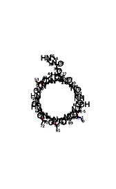 C/C=C/C[C@@H](C)[C@@H](O)C1C(=O)N[C@@H](CC)C(=O)N(C)[C@H](C)C(=O)N(C)[C@@H]([C@H](C)COCC(=O)N2CCNCC2)C(=O)N[C@@H](C(C)C)C(=O)N(C)[C@@H](CC(C)C)C(=O)N[C@@H](C)C(=O)N[C@H](C)C(=O)N(C)[C@@H](CC(C)C)C(=O)N(C)C(CC(C)C)C(=O)N(C)[C@@H](C(C)C)C(=O)N1C